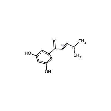 CN(C)/C=C/C(=O)c1cc(O)cc(O)c1